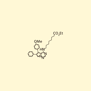 CCOC(=O)CCCCCCCNc1ncnn2cc(-c3ccccc3)c(-c3ccc(OC)cc3)c12